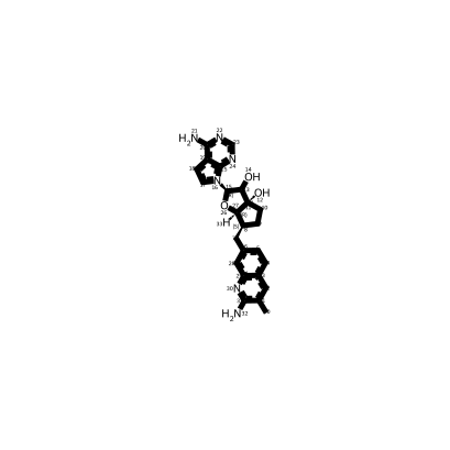 Cc1cc2ccc(C[C@@H]3CC[C@]4(O)C(O)[C@H](n5ccc6c(N)ncnc65)O[C@H]34)cc2nc1N